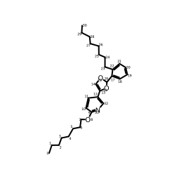 CCCCCCCCOc1ccc(C2=COC(c3ccccc3CCCCCCCC)O2)cn1